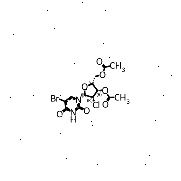 CC(=O)OC[C@H]1O[C@@H](n2cc(Br)c(=O)[nH]c2=O)[C@H](Cl)[C@@H]1OC(C)=O